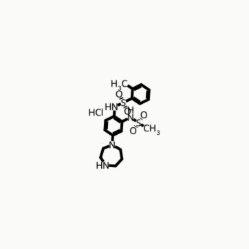 Cc1ccccc1S(=O)(=O)Nc1ccc(N2CCCNCC2)cc1NS(C)(=O)=O.Cl